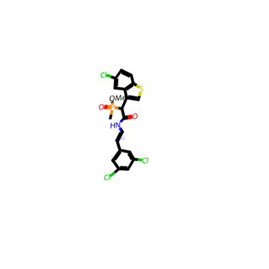 COP(C)(=O)C(C(=O)N/C=C/c1cc(Cl)cc(Cl)c1)c1csc2ccc(Cl)cc12